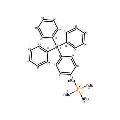 CCCC[P+](CCCC)(CCCC)CCCC.c1ccc([B-](c2ccccc2)(c2ccccc2)c2ccccc2)cc1